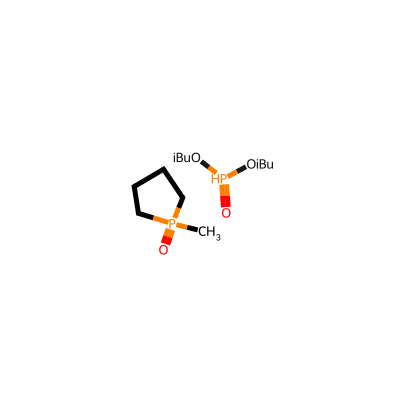 CC(C)CO[PH](=O)OCC(C)C.CP1(=O)CCCC1